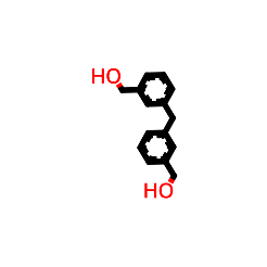 OCc1cccc(Cc2cccc(CO)c2)c1